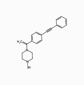 C=C(c1ccc(C#Cc2ccccc2)cc1)N1CCN(C(C)C)CC1